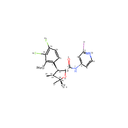 COc1c([C@H]2[C@H](C(=O)Nc3ccnc(I)c3)O[C@@](C)(C(F)(F)F)[C@H]2C)ccc(F)c1F